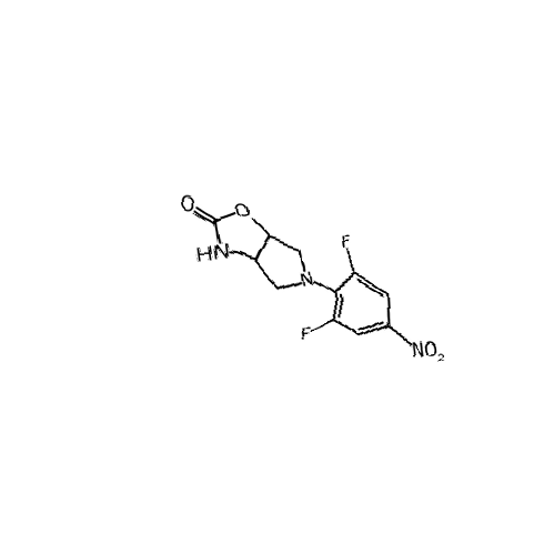 O=C1NC2CN(c3c(F)cc([N+](=O)[O-])cc3F)CC2O1